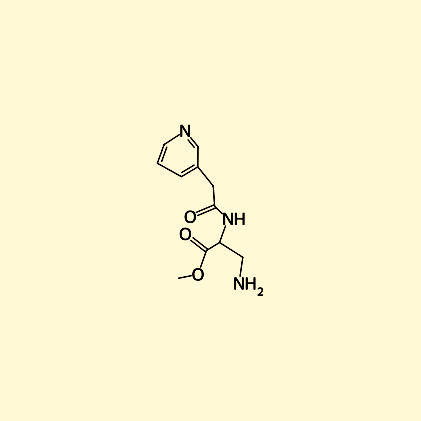 COC(=O)C(CN)NC(=O)Cc1cccnc1